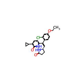 CCOc1ccc(/C(=C/[C@H]2CCC(=O)N2)c2ccc(C3CC3)c(=O)[nH]2)c(Cl)c1